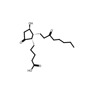 CCCCCC(=O)CC[C@H]1[C@H](O)CC(=O)[C@H]1CCCCC(=O)O